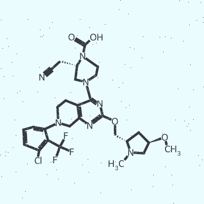 CO[C@@H]1C[C@@H](COc2nc3c(c(N4CCN(C(=O)O)[C@@H](CC#N)C4)n2)CCN(c2cccc(Cl)c2C(F)(F)F)C3)N(C)C1